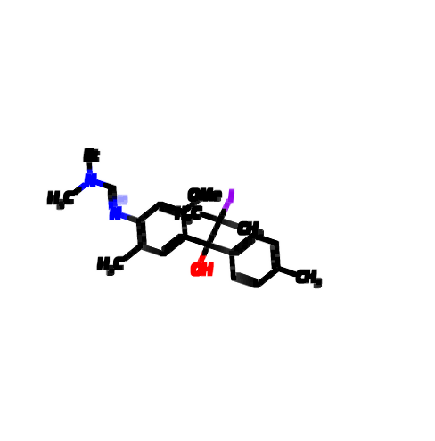 CCN(C)/C=N/c1cc(OC)c(C(O)(c2ccc(C)cc2)C(C)(C)I)cc1C